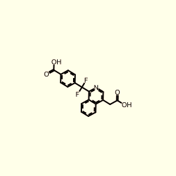 O=C(O)Cc1cnc(C(F)(F)c2ccc(C(=O)O)cc2)c2ccccc12